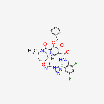 C[C@H]1CC[C@]2(CC(n3cnnc3)=NO2)[C@H]2CN1C(=O)c1c(OCc3ccccc3)c(=O)c(C(=O)NCc3c(F)cc(F)cc3F)cn12